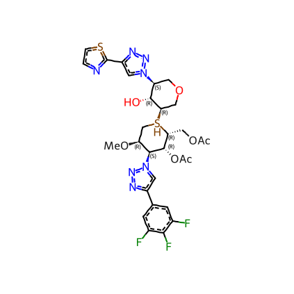 CO[C@H]1C[SH]([C@@H]2COC[C@H](n3cc(-c4nccs4)nn3)[C@H]2O)[C@H](COC(C)=O)[C@H](OC(C)=O)[C@H]1n1cc(-c2cc(F)c(F)c(F)c2)nn1